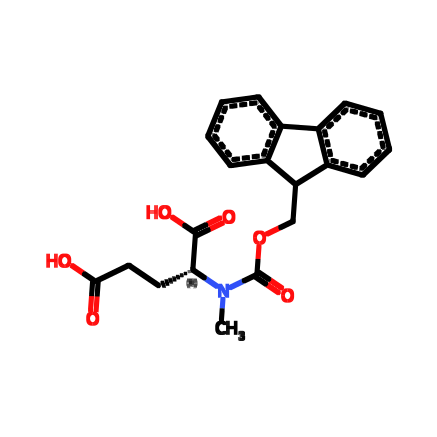 CN(C(=O)OCC1c2ccccc2-c2ccccc21)[C@H](CCC(=O)O)C(=O)O